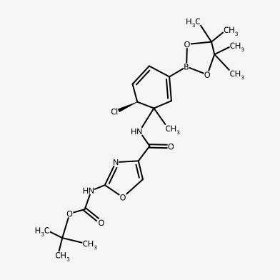 CC(C)(C)OC(=O)Nc1nc(C(=O)NC2(C)C=C(B3OC(C)(C)C(C)(C)O3)C=C[C@@H]2Cl)co1